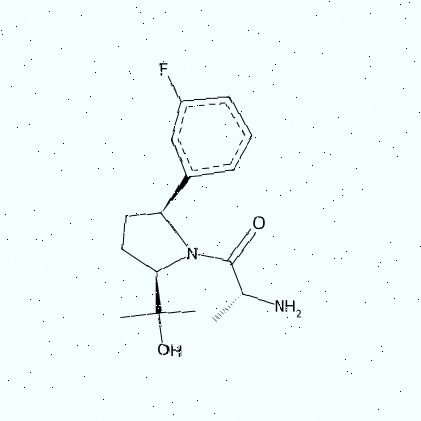 C[C@@H](N)C(=O)N1[C@H](c2cccc(F)c2)CC[C@@H]1C(C)(C)O